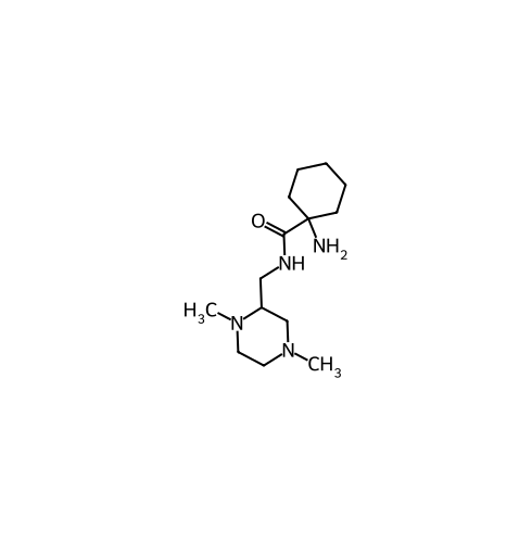 CN1CCN(C)C(CNC(=O)C2(N)CCCCC2)C1